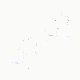 CS(=N)(=O)c1c(Oc2ccc(F)c(C(=N)N)c2)c(F)c(F)c2[nH]ccc12